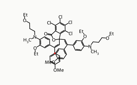 CCOCCCN(C)c1ccc(C(=CC2(C=C(c3ccc(OC)cc3)c3ccc(N(C)CCCOCC)c(OCC)c3)OC(=O)c3c(Cl)c(Cl)c(Cl)c(Cl)c32)c2ccc(OC)cc2)cc1OCC